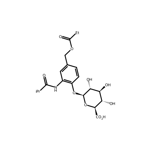 CCC(=O)OCc1ccc(O[C@@H]2O[C@H](C(=O)O)[C@@H](O)[C@H](O)[C@H]2O)c(NC(=O)C(C)C)c1